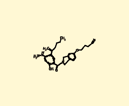 C=C(CCCC)c1cc(C(=O)N2Cc3ccc(OCCCC#N)cc3C2)c(O)cc1NN